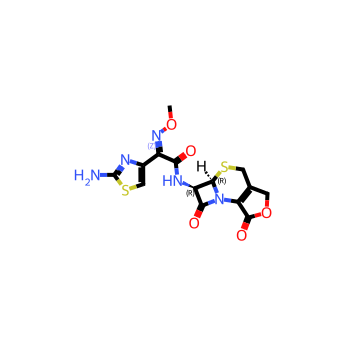 CO/N=C(\C(=O)N[C@@H]1C(=O)N2C3=C(COC3=O)CS[C@H]12)c1csc(N)n1